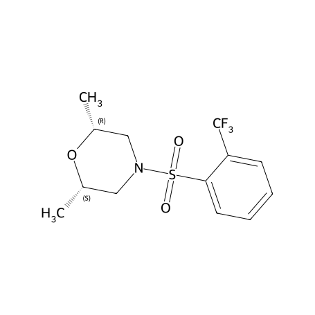 C[C@@H]1CN(S(=O)(=O)c2ccccc2C(F)(F)F)C[C@H](C)O1